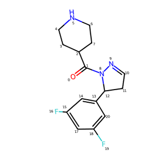 O=C(C1CCNCC1)N1N=CCC1c1cc(F)cc(F)c1